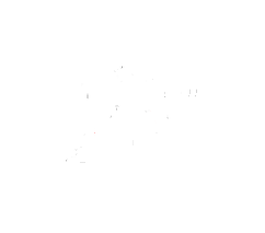 C#CCOC1=c2cc(OCCC)c(C(=O)O)cc2=CCC=C1